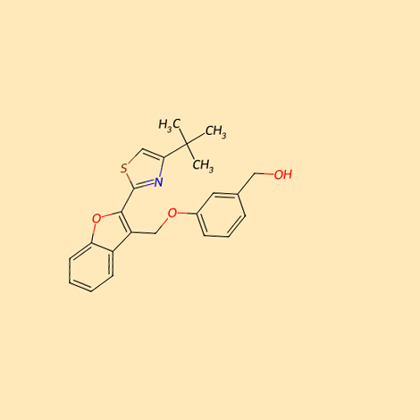 CC(C)(C)c1csc(-c2oc3ccccc3c2COc2cccc(CO)c2)n1